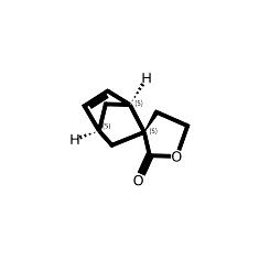 O=C1OCC[C@]12C[C@H]1C=C[C@@H]2C1